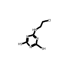 Sc1nc(S)nc(NCCCl)n1